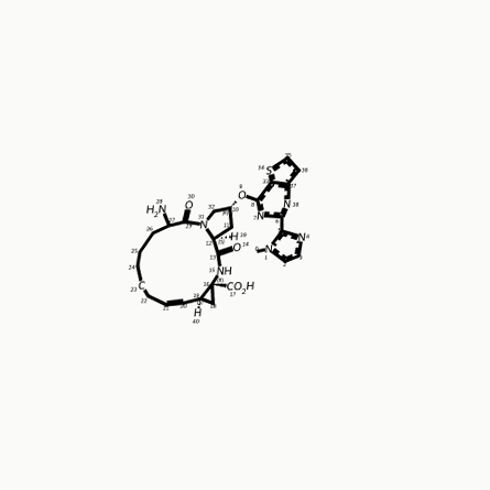 Cn1ccnc1-c1nc(O[C@@H]2C[C@H]3C(=O)N[C@]4(C(=O)O)C[C@H]4C=CCCCCCC(N)C(=O)N3C2)c2sccc2n1